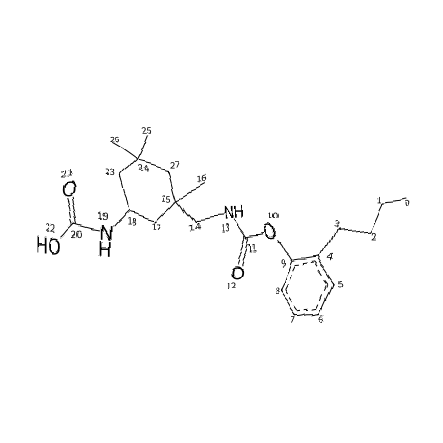 CCCCc1ccccc1OC(=O)NCC1(C)CC(NC(=O)O)CC(C)(C)C1